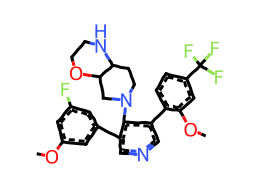 COc1cc(F)cc(-c2cncc(-c3ccc(C(F)(F)F)cc3OC)c2N2CCC3NCCOC3C2)c1